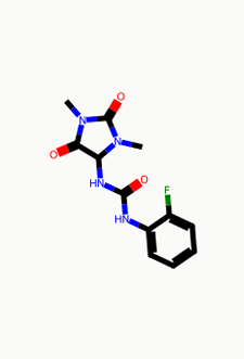 CN1C(=O)C(NC(=O)Nc2ccccc2F)N(C)C1=O